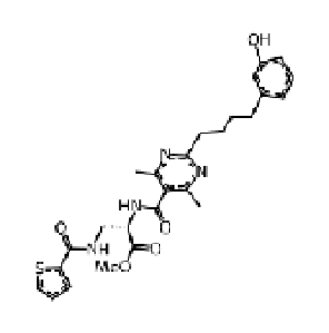 COC(=O)[C@H](CNC(=O)c1cccs1)NC(=O)c1c(C)nc(CCCCc2cccc(O)c2)nc1C